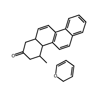 C1=CCOC=C1.CC1CC(=O)CC2C=Cc3c(ccc4ccccc34)C12